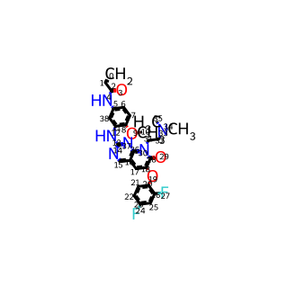 C=CC(=O)Nc1ccc(OC)c(Nc2ncc3cc(Oc4ccc(F)cc4F)c(=O)n(CCN(C)C)c3n2)c1